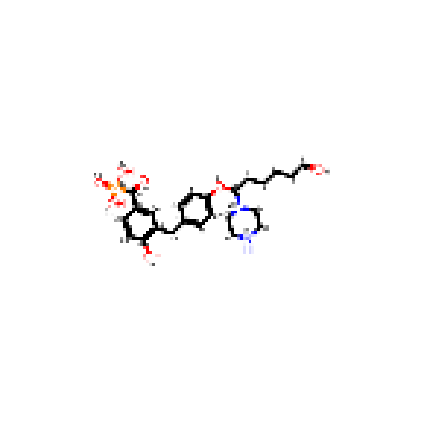 O=CCCCCC(Oc1ccc(Cc2cc(C(=O)P(=O)(O)O)ccc2O)cc1)N1CCNCC1